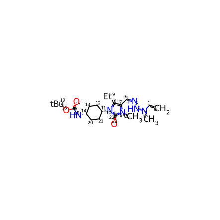 C=CN(C)N/N=C\c1c(CC)n([C@H]2CC[C@@H](NC(=O)OC(C)(C)C)CC2)c(=O)n1C